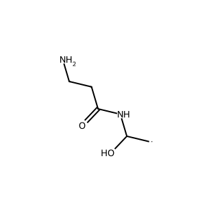 [CH2]C(O)NC(=O)CCN